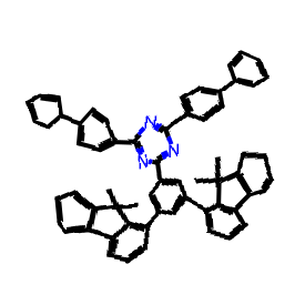 CC1(C)C2=C(C=CCC2)c2cccc(-c3cc(-c4nc(-c5ccc(-c6ccccc6)cc5)nc(-c5ccc(C6C=CC=CC6)cc5)n4)cc(-c4cccc5c4C(C)(C)c4ccccc4-5)c3)c21